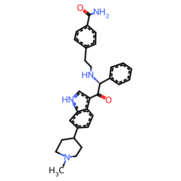 CN1CCC(c2ccc3c(C(=O)[C@@H](NCCc4ccc(C(N)=O)cc4)c4ccccc4)c[nH]c3c2)CC1